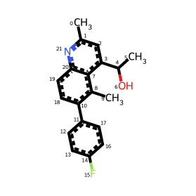 Cc1cc(C(C)O)c2c(C)c(-c3ccc(F)cc3)ccc2n1